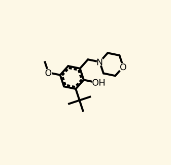 COc1cc(CN2CCOCC2)c(O)c(C(C)(C)C)c1